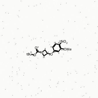 COc1cc(OC2CN(C(=O)OC(C)(C)C)C2)ccc1[N+](=O)[O-]